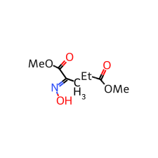 CCC(=O)OC.COC(=O)C(C)=NO